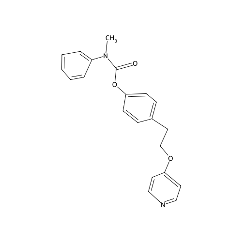 CN(C(=O)Oc1ccc(CCOc2ccncc2)cc1)c1ccccc1